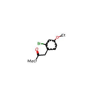 CCOc1ccc(CC(=O)OC)c(Br)c1